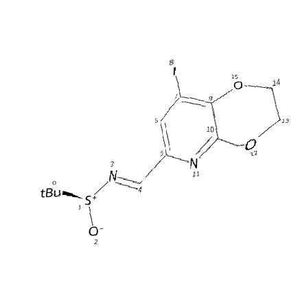 CC(C)(C)[S@+]([O-])/N=C/c1cc(I)c2c(n1)OCCO2